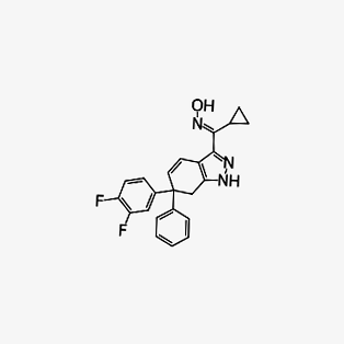 ON=C(c1n[nH]c2c1C=CC(c1ccccc1)(c1ccc(F)c(F)c1)C2)C1CC1